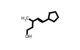 CC(C=CC1CCCC1)CCO